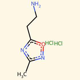 Cc1noc(CCN)n1.Cl.Cl